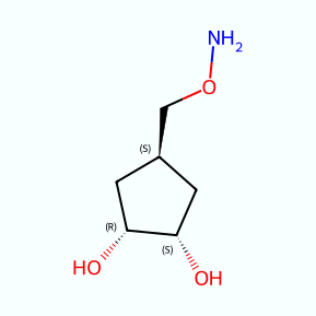 NOC[C@@H]1C[C@@H](O)[C@@H](O)C1